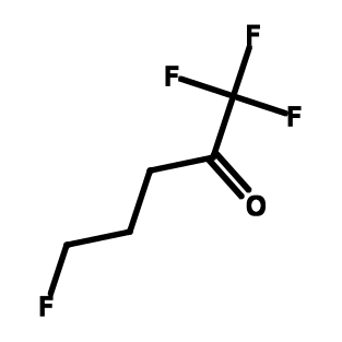 O=C(CCCF)C(F)(F)F